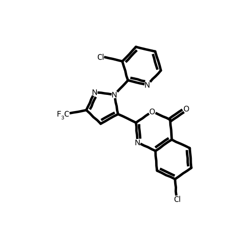 O=c1oc(-c2cc(C(F)(F)F)nn2-c2ncccc2Cl)nc2cc(Cl)ccc12